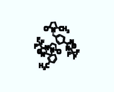 CC1=CC(c2noc(C(F)(F)F)n2)(N2CCCC2=O)CC=C1.CC1CCC(=O)N1Cc1ccc(-c2noc(C(F)(F)F)n2)cc1